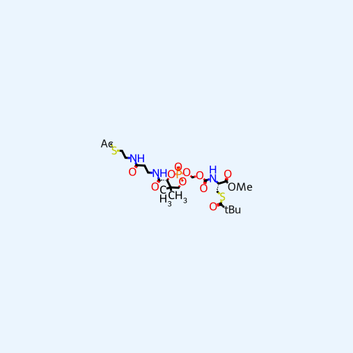 COC(=O)[C@H](CSC(=O)C(C)(C)C)NC(=O)OCOP1(=O)OCC(C)(C)[C@H](C(=O)NCCC(=O)NCCSC(C)=O)O1